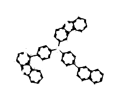 c1ccc2cc(-c3ccc(N(c4ccc(-c5nccc6sc7ccccc7c56)cc4)c4ccc5oc6ccccc6c5c4)cc3)ccc2c1